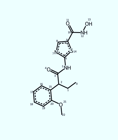 CCC(C(=O)Nc1ncc(C(=O)NO)s1)c1ccccc1OC